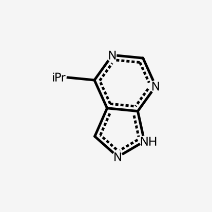 CC(C)c1ncnc2[nH]ncc12